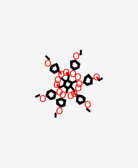 CCOc1ccc(OC(=O)c2c(C(=O)Oc3ccc(OCC)cc3)c(C(=O)Oc3ccc(OCC)cc3)c(C(=O)Oc3ccc(OCC)cc3)c(C(=O)Oc3ccc(OCC)cc3)c2C(=O)Oc2ccc(OCC)cc2)cc1